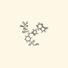 CC(C)CS(=O)(=O)c1cccc(C(CC#N)n2cc(-c3ncnc4[nH]ccc34)cn2)c1.O=C(O)C(F)(F)F